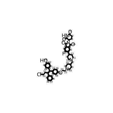 O=C1CCC(N2C(=O)c3cc(F)c(C4CCN(CC5CCN(CCOc6ccc(C(=C(CCCl)c7ccccc7)c7ccc(O)cc7)cc6)CC5)CC4)cc3C2=O)C(=O)N1